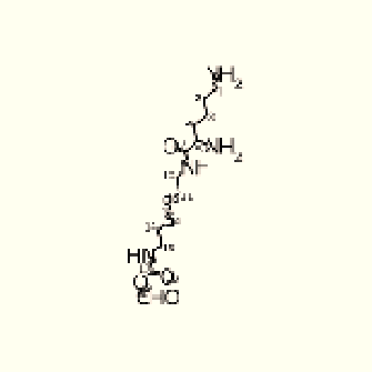 NCCCCC(N)C(=O)NCCSSCCNC(=O)OC=O